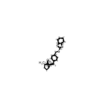 CC12CCC(C(=Cc3ccc(CSc4nc5ccccc5s4)cc3)C1=O)C2(C)C